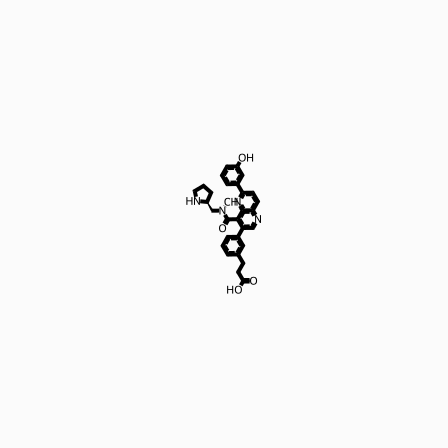 CN(C[C@@H]1CCCN1)C(=O)c1c(-c2cccc(CCC(=O)O)c2)cnc2ccc(-c3cccc(O)c3)nc12